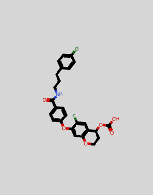 O=C(O)OC1CCOc2cc(Oc3ccc(C(=O)NCCCc4ccc(Cl)cc4)cc3)c(Cl)cc21